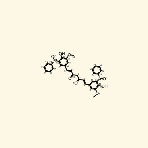 COc1cc(C=CC(=O)CC(=O)C=Cc2cc(OC)c(O)c([S+]([O-])c3ccccc3)c2)cc([S+]([O-])c2ccccc2)c1O